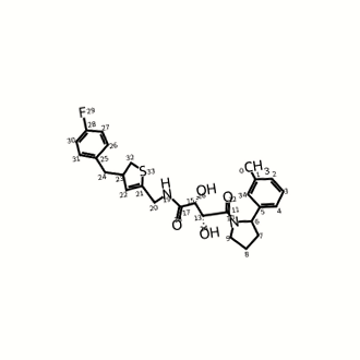 Cc1cccc(C2CCCN2C(=O)[C@H](O)[C@@H](O)C(=O)NCC2=CC(Cc3ccc(F)cc3)CS2)c1